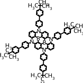 CC(C)(C)c1ccc(-c2ccc(N3c4cccc5c4B4c6c3ccc3c6B6c7c(cccc7N(c7ccc(-c8ccc(C(C)(C)C)cc8)cc7)c7ccc(c4c76)N5c4ccc(-c5ccc(C(C)(C)C)cc5)cc4)N3c3ccc(-c4ccc(C(C)(C)C)cc4)cc3)cc2)cc1